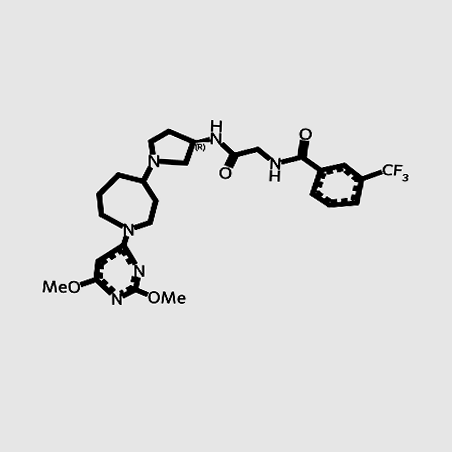 COc1cc(N2CCCC(N3CC[C@@H](NC(=O)CNC(=O)c4cccc(C(F)(F)F)c4)C3)CC2)nc(OC)n1